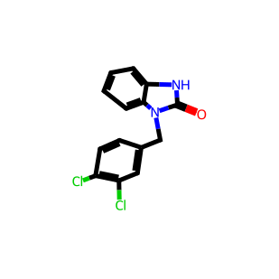 O=c1[nH]c2ccccc2n1Cc1ccc(Cl)c(Cl)c1